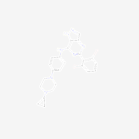 Fc1cccc(F)c1-c1nc(Nc2ccc(N3CCN(C4CC4)CC3)cc2)c2[nH]ncc2n1